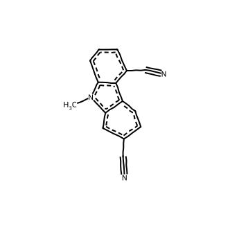 Cn1c2cc(C#N)ccc2c2c(C#N)cccc21